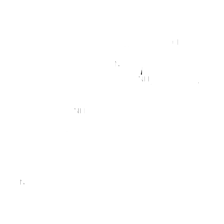 N[C@H](Cc1ccc(Cl)cc1Cl)C(=O)N1Cc2ccc(NCc3ccc(-c4ccncc4)cc3)cc2C1